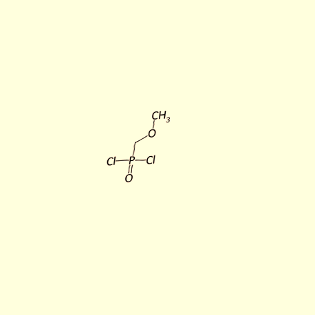 COCP(=O)(Cl)Cl